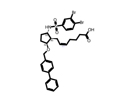 O=C(O)CCC/C=C\C[C@@H]1[C@@H](NS(=O)(=O)c2ccc(Br)c(Br)c2)CC[C@@H]1OCc1ccc(-c2ccccc2)cc1